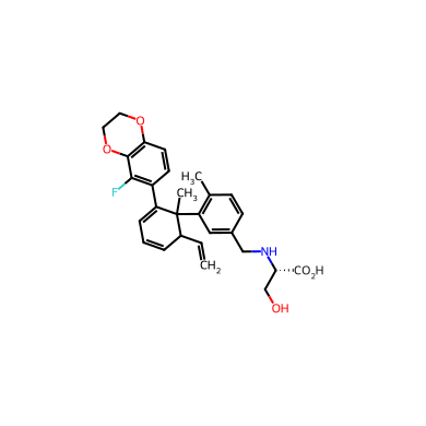 C=CC1C=CC=C(c2ccc3c(c2F)OCCO3)C1(C)c1cc(CN[C@@H](CO)C(=O)O)ccc1C